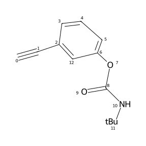 C#Cc1cccc(OC(=O)NC(C)(C)C)c1